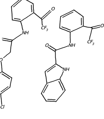 O=C(COc1ccc(Cl)cc1)Nc1ccccc1C(=O)C(F)(F)F.O=C(Nc1ccccc1C(=O)C(F)(F)F)c1cc2ccccc2[nH]1